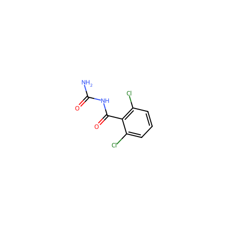 NC(=O)NC(=O)c1c(Cl)cccc1Cl